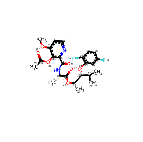 COc1ccnc(C(=O)N[C@@H](C)C(=O)O[C@@H](C)[C@H](Oc2cc(F)ccc2F)C(C)C)c1OC(C)=O